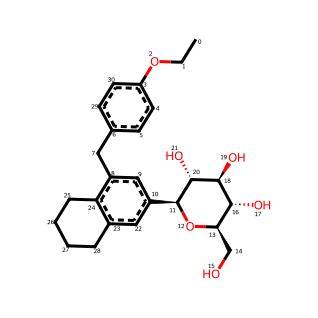 CCOc1ccc(Cc2cc([C@@H]3O[C@H](CO)[C@@H](O)[C@H](O)[C@H]3O)cc3c2CCCC3)cc1